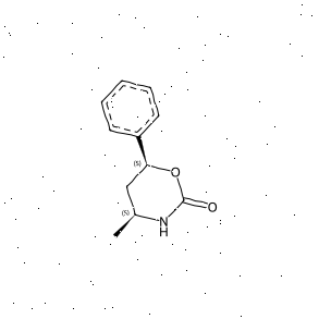 C[C@H]1C[C@@H](c2ccccc2)OC(=O)N1